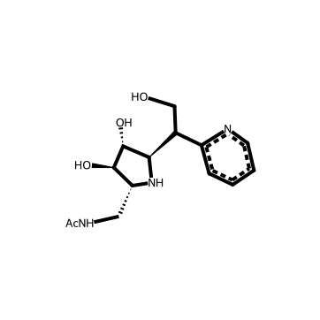 CC(=O)NC[C@H]1N[C@H](C(CO)c2ccccn2)[C@@H](O)[C@@H]1O